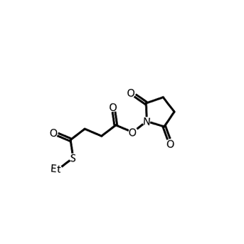 CCSC(=O)CCC(=O)ON1C(=O)CCC1=O